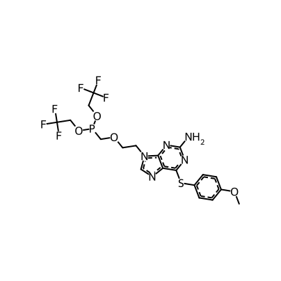 COc1ccc(Sc2nc(N)nc3c2ncn3CCOCP(OCC(F)(F)F)OCC(F)(F)F)cc1